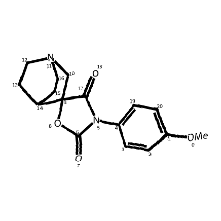 COc1ccc(N2C(=O)OC3(CN4CCC3CC4)C2=O)cc1